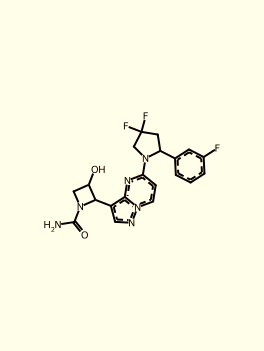 NC(=O)N1CC(O)C1c1cnn2ccc(N3CC(F)(F)CC3c3cccc(F)c3)nc12